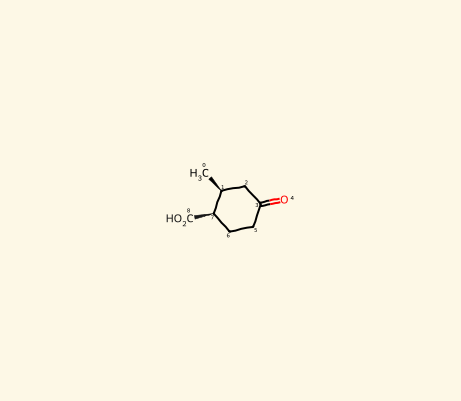 C[C@H]1CC(=O)CC[C@H]1C(=O)O